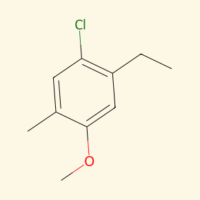 CCc1cc(OC)c(C)cc1Cl